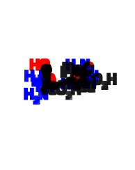 CC[C@H](C)[C@H](NC(=O)[C@](C)(CCC/C=C/CCC[C@](C)(NC(=O)[C@H](CCCCN)NC(=O)[C@@H](N)Cc1ccc(O)cc1)C(=O)O)NC)C(=O)N[C@@H](CC(=O)O)C(=O)N[C@@H](CCC(N)=O)C(=O)N[C@H](C(=O)C(C)C)[C@@H](C)CC